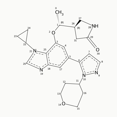 C[C@@H](Oc1cc(-c2ccnn2C2CCOCC2)cc2ncn(C3CC3)c12)[C@H]1CNC(=O)C1